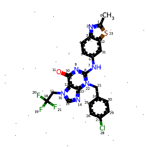 Cc1nc2ccc(Nc3nc(=O)c4c(ncn4CC(F)(F)F)n3Cc3ccc(Cl)cc3)cc2s1